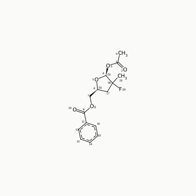 CC(=O)O[C@@H]1O[C@H](COC(=O)c2ccccc2)CC1(C)F